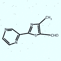 Cc1nc(-c2cnccn2)sc1C=O